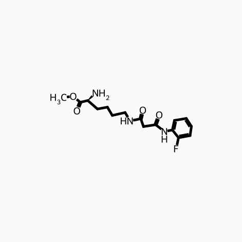 COC(=O)[C@@H](N)CCCCNC(=O)CC(=O)Nc1ccccc1F